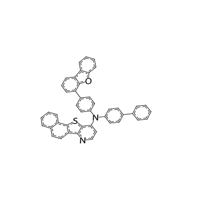 c1ccc(-c2ccc(N(c3ccc(-c4cccc5c4oc4ccccc45)cc3)c3ccnc4c3sc3c5ccccc5ccc43)cc2)cc1